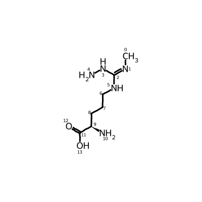 CN=C(NN)NCCC[C@@H](N)C(=O)O